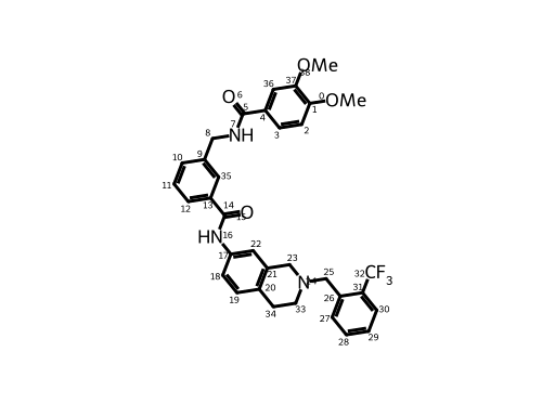 COc1ccc(C(=O)NCc2cccc(C(=O)Nc3ccc4c(c3)CN(Cc3ccccc3C(F)(F)F)CC4)c2)cc1OC